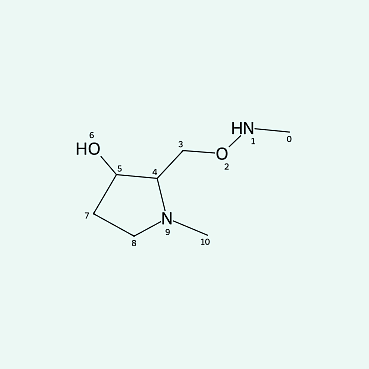 CNOCC1C(O)CCN1C